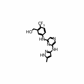 Cc1cc(Nc2cncc(Nc3ccc(C(F)(F)F)c(CO)c3)n2)n[nH]1